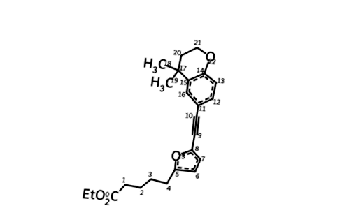 CCOC(=O)CCCCc1ccc(C#Cc2ccc3c(c2)C(C)(C)CCO3)o1